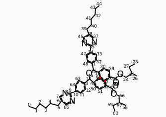 CCCCCCc1cnc(-c2ccc(C(OC(c3ccc(C(=O)OCC(C)CC)cc3)c3ccc(-c4ncc(CCCCCC)cn4)cc3)c3ccc(C(=O)OCC(C)CC)cc3)cc2)nc1